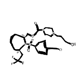 O=C(OC[C@@H]1CCC[C@H](CC(F)(F)F)N1S(=O)(=O)c1ccc(Cl)cc1)N1CCN(CCO)CC1